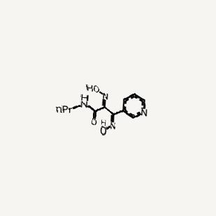 CCCNC(=O)C(=NO)C(=NO)c1cccnc1